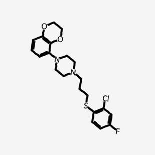 Fc1ccc(SCCCN2CCN(c3cccc4c3OCCO4)CC2)c(Cl)c1